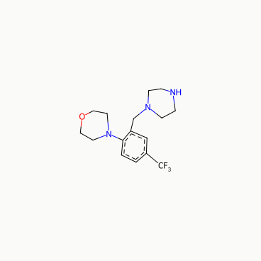 FC(F)(F)c1ccc(N2CCOCC2)c(CN2CCNCC2)c1